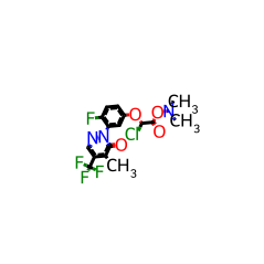 Cc1c(C(F)(F)F)cnn(-c2cc(OC(Cl)C(=O)ON(C)C)ccc2F)c1=O